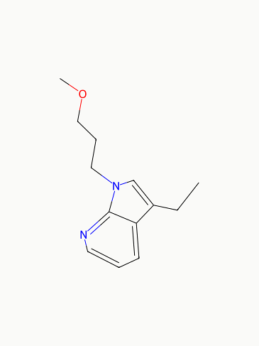 CCc1cn(CCCOC)c2ncccc12